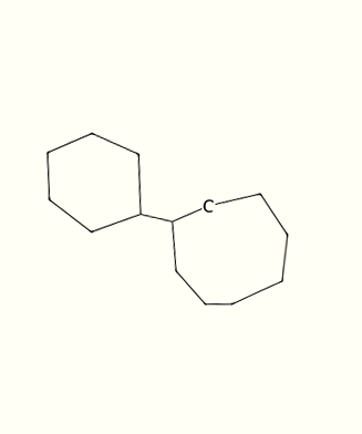 C1CCCC(C2CCCCC2)CCC1